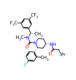 Cc1cc(F)ccc1[C@H]1C[C@@H](NC(=O)CC(C)C)CCN1C(=O)N(C)[C@@H](C)c1cc(C(F)(F)F)cc(C(F)(F)F)c1